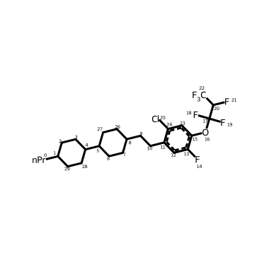 CCCC1CCC(C2CCC(CCc3cc(F)c(OC(F)(F)C(F)C(F)(F)F)cc3Cl)CC2)CC1